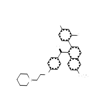 COc1ccc2c(C(=O)c3ccc(OCCN4CCCCC4)cc3)c(-c3ccc(F)cc3F)ccc2c1